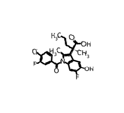 CCC[C@@](C)(C(=O)O)c1c(C)n(C(=O)c2ccc(Cl)c(F)c2)c2cc(F)c(O)cc12